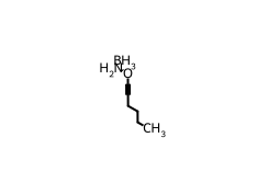 B.CCCCC#CON